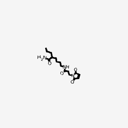 CCCC(CCCCNC(=O)CCN1C(=O)C=CC1=O)C(N)=O